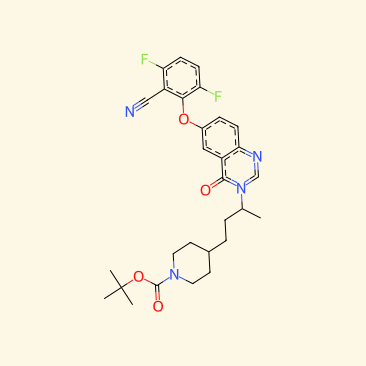 CC(CCC1CCN(C(=O)OC(C)(C)C)CC1)n1cnc2ccc(Oc3c(F)ccc(F)c3C#N)cc2c1=O